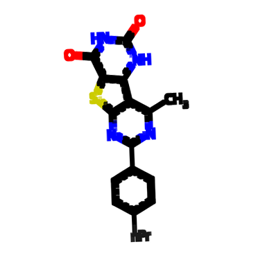 CCCc1ccc(-c2nc(C)c3c(n2)sc2c(=O)[nH]c(=O)[nH]c23)cc1